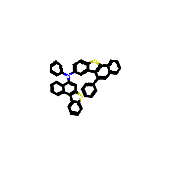 c1ccc(-c2cc3ccccc3c3sc4ccc(N(c5ccccc5)c5cc6sc7ccccc7c6c6ccccc56)cc4c23)cc1